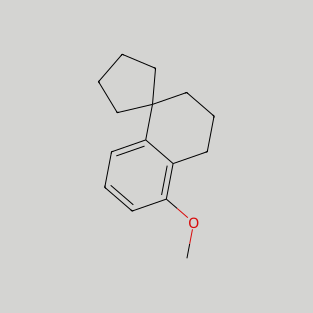 COc1cccc2c1CCCC21CCCC1